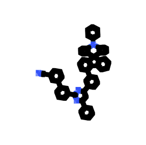 N#Cc1cccc(-c2cccc(-c3nc(-c4ccccc4)cc(-c4cccc(-c5cccc6c5-c5ccccc5C65c6ccccc6N(c6ccccc6)c6ccccc65)c4)n3)c2)c1